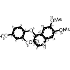 CCOC(=O)c1cc(C)ccc1Oc1ccnc2cc(OC)c(OC)cc12